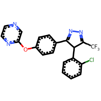 FC(F)(F)C1=NN=C(c2ccc(Oc3cnccn3)cc2)C1c1ccccc1Cl